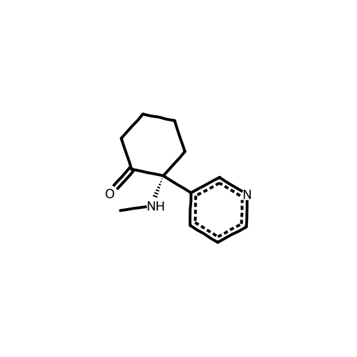 CN[C@@]1(c2cccnc2)CCCCC1=O